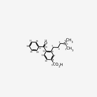 CN(C)CCCc1cc(C(=O)O)ccc1C(=O)c1ccccc1